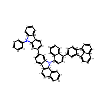 c1ccc(-n2c3ccccc3c3ccc(-c4ccc5c6ccc7ccccc7c6n(-c6ccc(-c7ccc8c(c7)-c7cccc9cccc-8c79)c7ccccc67)c5c4)cc32)cc1